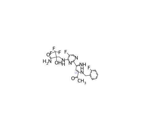 CC(=O)/C(=C/C(=N)c1ncc(F)c(NCC(O)(C(N)=O)C(F)(F)F)n1)NCc1ccccc1F